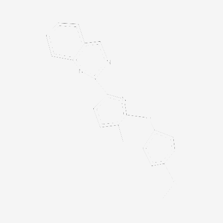 CSc1ccc(Oc2nc(-c3ncc4ccccc4n3)ccc2C)cc1